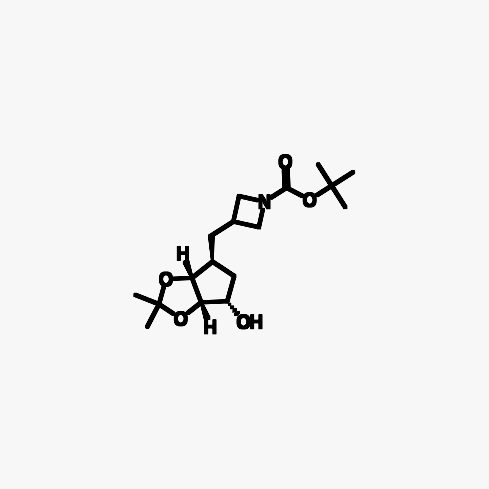 CC(C)(C)OC(=O)N1CC(C[C@H]2C[C@H](O)[C@@H]3OC(C)(C)O[C@H]23)C1